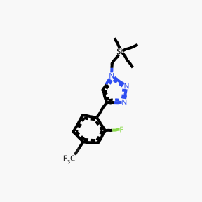 C[Si](C)(C)Cn1cc(-c2ccc(C(F)(F)F)cc2F)nn1